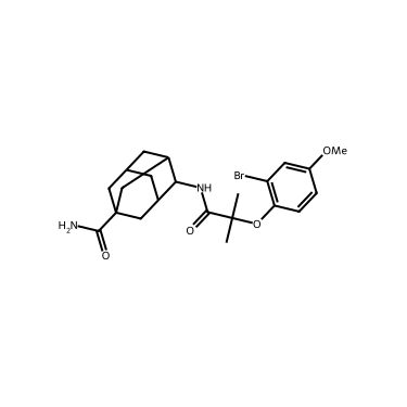 COc1ccc(OC(C)(C)C(=O)NC2C3CC4CC2CC(C(N)=O)(C4)C3)c(Br)c1